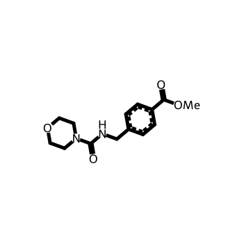 COC(=O)c1ccc(CNC(=O)N2CCOCC2)cc1